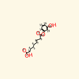 O=C(O)CCCCCCCC(=O)Oc1cccc(O)c1